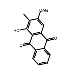 COc1cc2c(c(O)c1C)C(=O)c1ccccc1C2=O